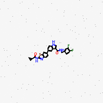 O=C(NCc1ccc(F)c(F)c1)c1c[nH]c2ccc(-c3ccc4nc(NC(=O)C5CC5)sc4c3)cc12